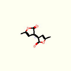 CC1=C/C(=C2/C=C(C)OC2=O)C(=O)O1